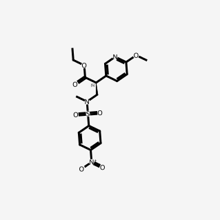 CCOC(=O)[C@H](CN(C)S(=O)(=O)c1ccc([N+](=O)[O-])cc1)c1ccc(OC)nc1